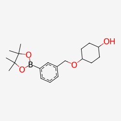 CC1(C)OB(c2cccc(COC3CCC(O)CC3)c2)OC1(C)C